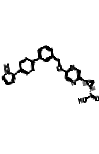 O=C(O)[C@H]1C[C@@H]1c1cnc(OCc2cccc(-c3ccc(-c4ccc[nH]4)cc3)c2)cn1